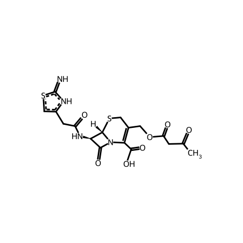 CC(=O)CC(=O)OCC1=C(C(=O)O)N2C(=O)[C@@H](NC(=O)Cc3csc(=N)[nH]3)[C@@H]2SC1